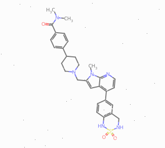 CN(C)C(=O)c1ccc(C2CCN(Cc3cc4c(-c5ccc6c(c5)CNS(=O)(=O)N6)ccnc4n3C)CC2)cc1